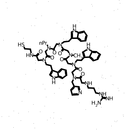 CCCN(CC(=O)N(CCc1c[nH]c2ccccc12)CC(=O)NCCS)C(=O)CN(CCc1c[nH]c2ccccc12)C(=O)CN(C)C(=O)CN(CCc1c[nH]c2ccccc12)C(=O)CN(Cc1cccnc1)C(=O)CNCCCNC(=N)N